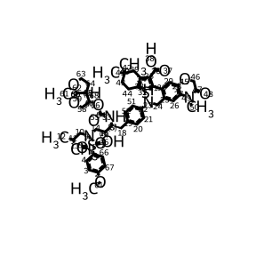 COc1ccc(S(=O)(=O)N(CC(C)C)C[C@@H](O)[C@H](Cc2ccc(NCc3cc4c(cc3-c3sc5c(c3C(=O)O)CC(C)(C)CC5)OCC(=O)N4C)cc2)NC(=O)O[C@H]2CO[C@@]3(C)OCC[C@@H]23)cc1